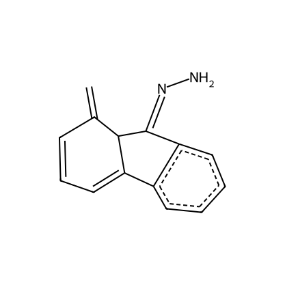 C=C1C=CC=C2c3ccccc3C(=NN)C12